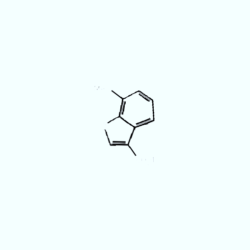 COc1cccc2c(C(=O)O)coc12